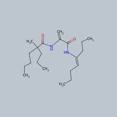 C=C(NC(=O)C(C)(CCC)CCCC)C(=O)N/C(=C\CCC)CCC